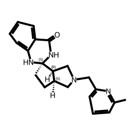 Cc1cccc(CN2C[C@H]3CC[C@]4(NC(=O)c5ccccc5N4)[C@H]3C2)n1